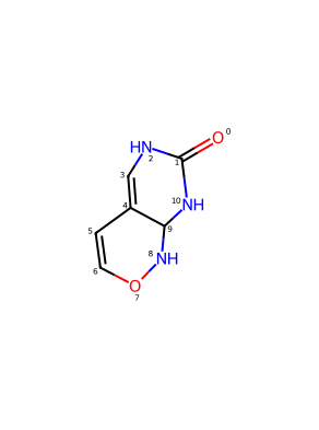 O=C1NC=C2C=CONC2N1